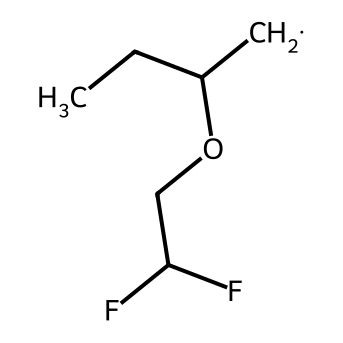 [CH2]C(CC)OCC(F)F